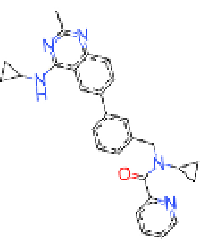 Cc1nc(NC2CC2)c2cc(-c3cccc(CN(C(=O)c4ccccn4)C4CC4)c3)ccc2n1